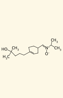 CC(C)[N+]([O-])=CC1CC=C(CCCC(C)(C)O)CC1